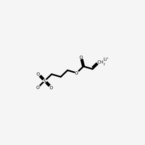 C=CC(=O)OCCCS(=O)(=O)[O-].[Li+]